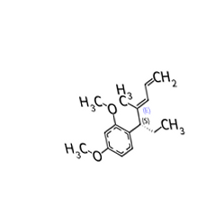 C=C/C=C(\C)[C@H](CC)c1ccc(OC)cc1OC